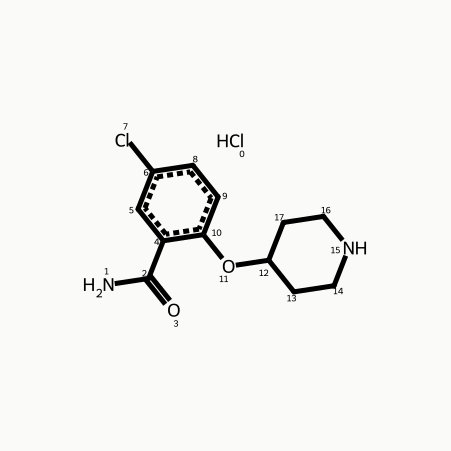 Cl.NC(=O)c1cc(Cl)ccc1OC1CCNCC1